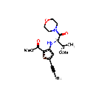 COC(=O)c1sc(C#CC(C)(C)C)cc1N[C@H](C(=O)N1CCOCC1)[C@H](C)OC